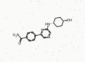 NC(=O)c1ccc(-c2cncc(N[C@H]3CC[C@H](O)CC3)n2)cc1